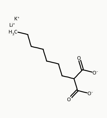 CCCCCCCC(C(=O)[O-])C(=O)[O-].[K+].[Li+]